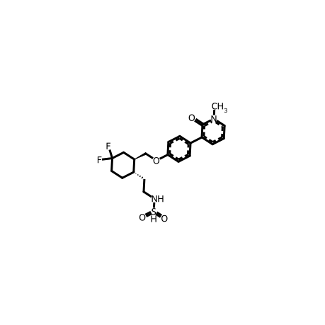 Cn1cccc(-c2ccc(OC[C@@H]3CC(F)(F)CC[C@H]3CCN[SH](=O)=O)cc2)c1=O